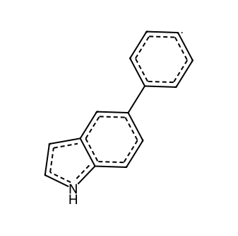 [c]1ccc(-c2ccc3[nH]ccc3c2)cc1